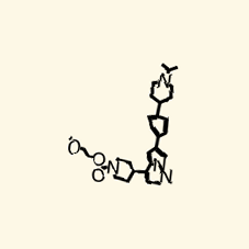 COCCOC(=O)N1CCC(c2ccnn3cc(-c4ccc(C5CCN(C(C)C)CC5)cc4)cc23)CC1